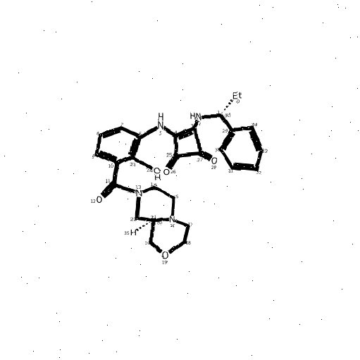 CC[C@@H](Nc1c(Nc2cccc(C(=O)N3CCN4CCOC[C@H]4C3)c2O)c(=O)c1=O)c1ccccc1